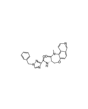 CN1C(=O)[C@@H](NC(=O)c2ncn(Cc3ccccc3)n2)COc2ccc3cnccc3c21